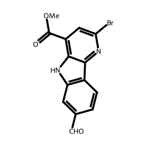 COC(=O)c1cc(Br)nc2c1[nH]c1cc(C=O)ccc12